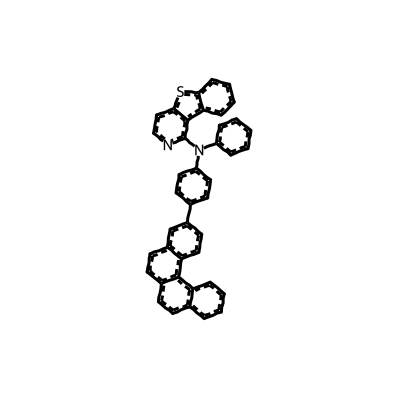 c1ccc(N(c2ccc(-c3ccc4c(ccc5ccc6ccccc6c54)c3)cc2)c2nccc3sc4ccccc4c23)cc1